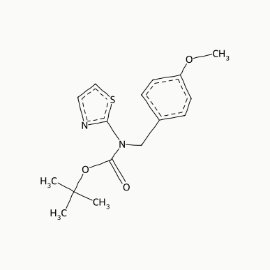 COc1ccc(CN(C(=O)OC(C)(C)C)c2nccs2)cc1